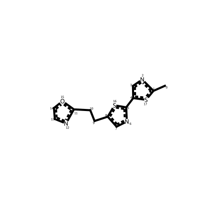 Cc1ncc(-c2ncc(CCc3ncco3)s2)s1